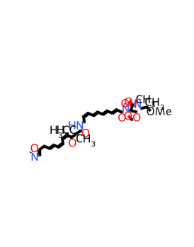 COC(C)CN(C)C(=O)C1(N(O)C(=O)/C=C/C=C/C=C/C=C\CNC(=O)C(C)(C)C(=O)\C(C)=C/C=C\C=C\Cc2cnco2)COCO1